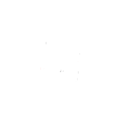 CCCCC(CC)(OOC(C)(C)C)C(=O)O.Cc1cccc(OO)c1